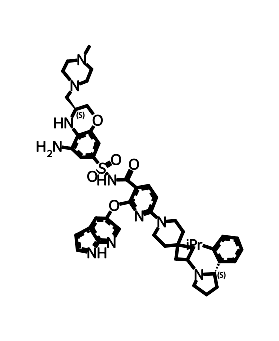 CC(C)c1ccccc1[C@@H]1CCCN1C1CC2(CCN(c3ccc(C(=O)NS(=O)(=O)c4cc(N)c5c(c4)OC[C@H](CN4CCN(C)CC4)N5)c(Oc4cnc5[nH]ccc5c4)n3)CC2)C1